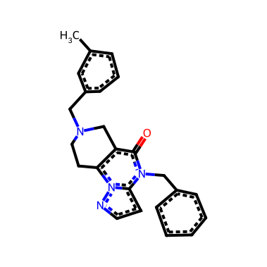 Cc1cccc(CN2CCc3c(c(=O)n(Cc4ccccc4)c4ccnn34)C2)c1